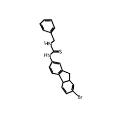 S=C(NCc1ccccc1)Nc1ccc2c(c1)CC1C=C(Br)C=CC21